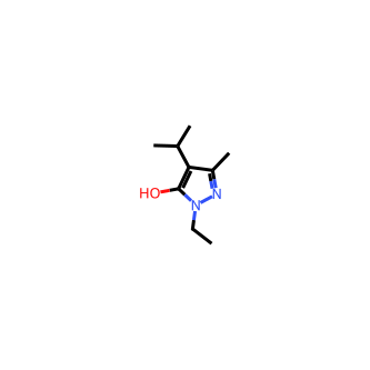 CCn1nc(C)c(C(C)C)c1O